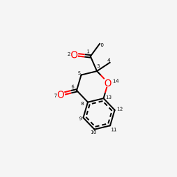 CC(=O)C1(C)CC(=O)c2ccccc2O1